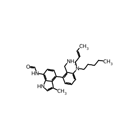 C/C=C/CN(CCCCC)c1cccc(-c2ccc(NC=O)c3[nH]cc(C)c23)c1CN